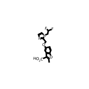 Cc1oc2ccc(OCc3nccn3CC(F)F)cc2c1C(=O)O